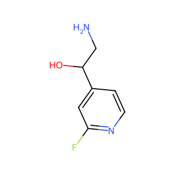 NCC(O)c1ccnc(F)c1